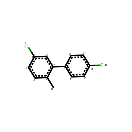 Cc1ccc(Cl)cc1-c1ccc(F)cc1